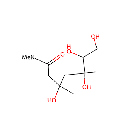 CNC(=O)CC(C)(O)CC(C)(O)C(O)CO